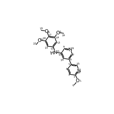 COc1ccc(-c2cncc(Nc3cc(OC)c(OC)c(OC)c3)c2)cn1